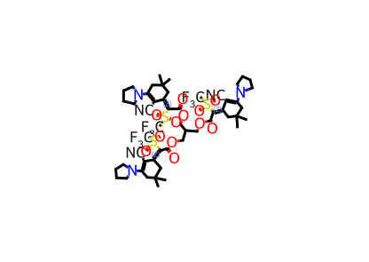 CC1(C)CC(N2CCCC2)=C(C#N)/C(=C(/C(=O)OCC(COC(=O)/C(=C2\CC(C)(C)CC(N3CCCC3)=C2C#N)S(=O)(=O)C(F)(F)F)COC(=O)/C(=C2\CC(C)(C)CC(N3CCCC3)=C2C#N)S(=O)(=O)C(F)(F)F)S(=O)(=O)C(F)(F)F)C1